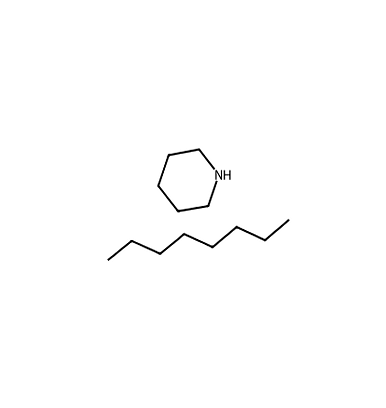 C1CCNCC1.CCCCCCCC